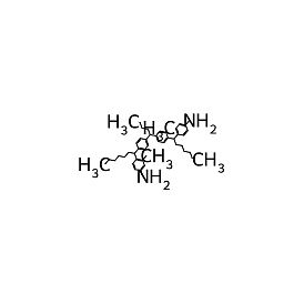 CCCCCCC(c1ccc(C(CCCC)c2ccc(C(CCCCCC)c3ccc(N)cc3C)cc2)cc1)c1ccc(N)cc1C